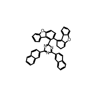 C1=c2oc3ccccc3c2=C(c2ccc3oc4ccccc4c3c2-c2nc(-c3ccc4ccccc4c3)nc(-c3ccc4ccccc4c3)n2)CC1